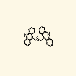 c1ccc2c(CSCc3c4ccccc4nc4ccccc34)c3ccccc3nc2c1